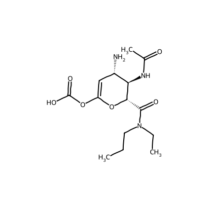 CCCN(CC)C(=O)[C@@H]1OC(OC(=O)O)=C[C@H](N)[C@H]1NC(C)=O